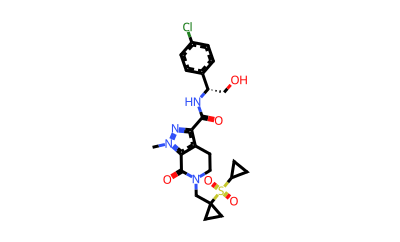 Cn1nc(C(=O)N[C@@H](CO)c2ccc(Cl)cc2)c2c1C(=O)N(CC1(S(=O)(=O)C3CC3)CC1)CC2